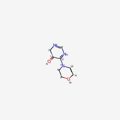 O=C1CN=[C]N=C1N1CCOCC1